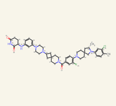 C[C@H]1CC2(CCN(c3ccc(C(=O)N4CCC5(CC4)CC(N4CCN(c6cccc(NC7CCC(=O)NC7=O)c6)CC4)C5)cc3F)CC2)CN1c1ccc(C#N)c(Cl)c1